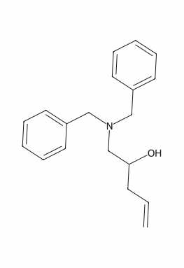 C=CCC(O)CN(Cc1ccccc1)Cc1ccccc1